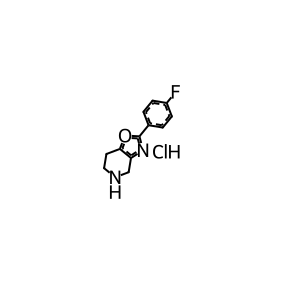 Cl.Fc1ccc(-c2nc3c(o2)CCNC3)cc1